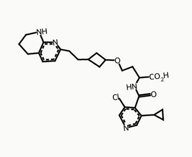 O=C(NC(CCOC1CC(CCc2ccc3c(n2)NCCC3)C1)C(=O)O)c1c(Cl)cncc1C1CC1